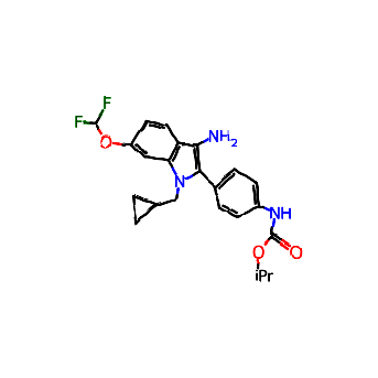 CC(C)OC(=O)Nc1ccc(-c2c(N)c3ccc(OC(F)F)cc3n2CC2CC2)cc1